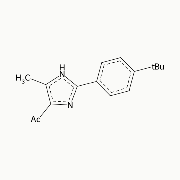 CC(=O)c1nc(-c2ccc(C(C)(C)C)cc2)[nH]c1C